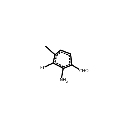 CCc1c(C)ccc(C=O)c1N